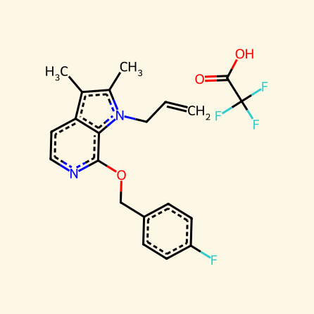 C=CCn1c(C)c(C)c2ccnc(OCc3ccc(F)cc3)c21.O=C(O)C(F)(F)F